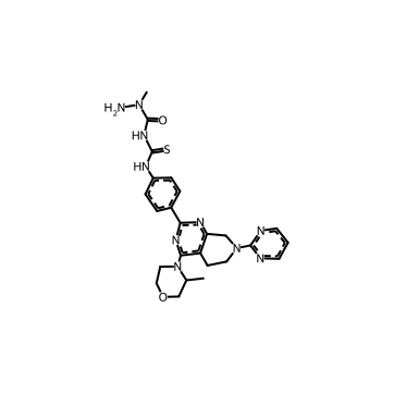 CC1COCCN1c1nc(-c2ccc(NC(=S)NC(=O)N(C)N)cc2)nc2c1CCN(c1ncccn1)C2